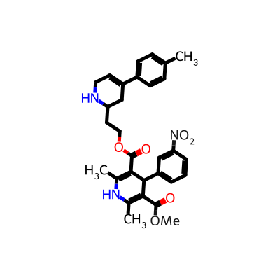 COC(=O)C1=C(C)NC(C)=C(C(=O)OCCC2CC(c3ccc(C)cc3)=CCN2)C1c1cccc([N+](=O)[O-])c1